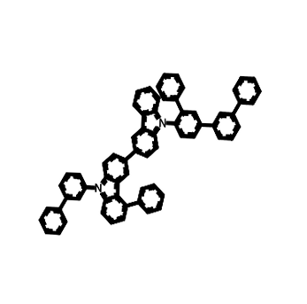 c1ccc(-c2cccc(-c3ccc(-n4c5ccccc5c5cc(-c6ccc7c(c6)c6c(-c8ccccc8)cccc6n7-c6cccc(-c7ccccc7)c6)ccc54)c(-c4ccccc4)c3)c2)cc1